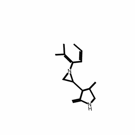 C=C1NCC(C)C1C1CN1C(/C=C\C)=C(C)C